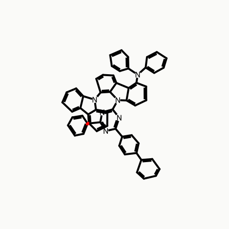 c1ccc(-c2ccc(-c3nc(-c4ccccc4)nc(-n4c5cccc(N(c6ccccc6)c6ccccc6)c5c5cccc(-n6c7ccccc7c7ccccc76)c54)n3)cc2)cc1